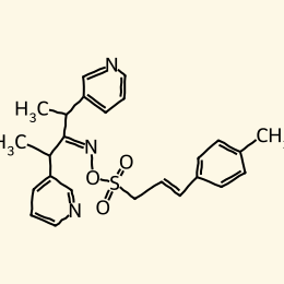 Cc1ccc(C=CCS(=O)(=O)ON=C(C(C)c2cccnc2)C(C)c2cccnc2)cc1